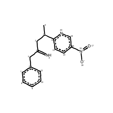 CC(CC(=N)Cc1ccccc1)c1ccc([N+](=O)[O-])cn1